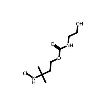 CC(C)(CCOC(=O)NCCO)NCl